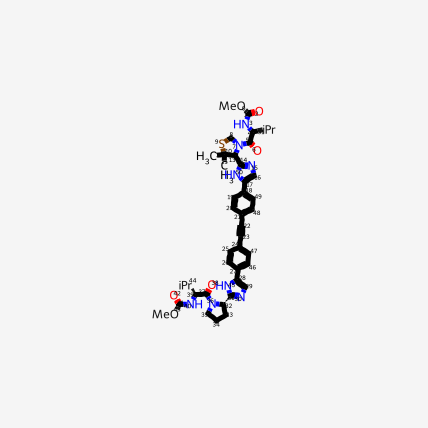 COC(=O)NC(C(=O)N1CSC(C)(C)C1c1ncc(-c2ccc(C#Cc3ccc(-c4cnc([C@@H]5CCCN5C(=O)[C@@H](NC(=O)OC)C(C)C)[nH]4)cc3)cc2)[nH]1)C(C)C